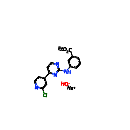 CCOC(=O)c1cccc(Nc2nccc(-c3ccnc(Cl)c3)n2)c1.[Na+].[OH-]